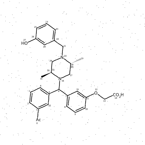 CC(=O)c1cccc(C(c2cccc(OCC(=O)O)c2)N2C[C@@H](C)N(Cc3cccc(O)c3)C[C@@H]2C)c1